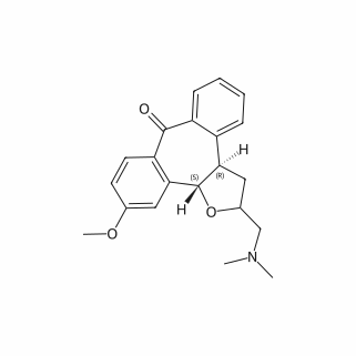 COc1ccc2c(c1)[C@H]1OC(CN(C)C)C[C@@H]1c1ccccc1C2=O